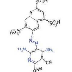 COc1nc(N)c(/N=N/c2cc3c(S(=O)(=O)O)cc(S(=O)(=O)O)cc3cc2S(=O)(=O)O)c(N)c1C#N